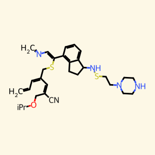 C=C/C=C(\C=C(\C#N)COC(C)C)CS/C(=C\N=C)c1cccc2c1CCC2NSCCN1CCNCC1